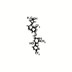 C[C@H]1C[C@@](O)(c2ccc(C(F)(F)F)nc2)C[C@@H](COc2cc(C(F)(F)F)c3c(c2)ncn3C2CC(C)(O)C2)N1